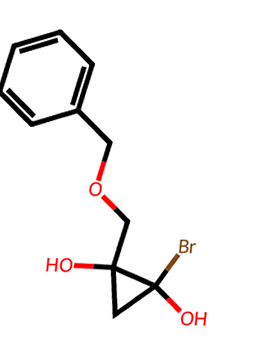 OC1(Br)CC1(O)COCc1ccccc1